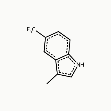 Cc1[c][nH]c2ccc(C(F)(F)F)cc12